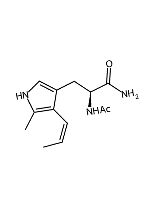 C/C=C\c1c(C[C@H](NC(C)=O)C(N)=O)c[nH]c1C